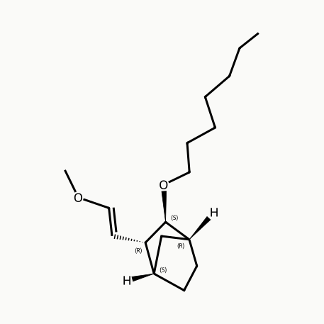 CCCCCCCO[C@H]1[C@@H]2CC[C@@H](C2)[C@@H]1C=COC